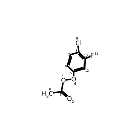 CC(=O)OOc1ccc(Cl)c(F)c1